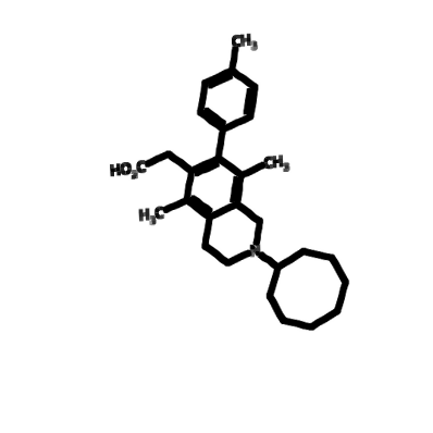 Cc1ccc(-c2c(C)c3c(c(C)c2CC(=O)O)CCN(C2CCCCCCC2)C3)cc1